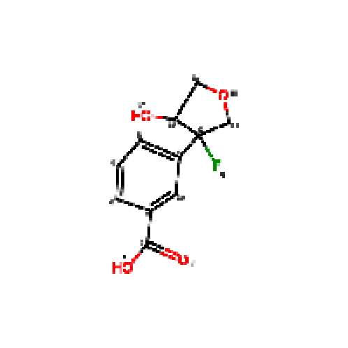 O=C(O)c1cccc(C2(F)COCC2O)c1